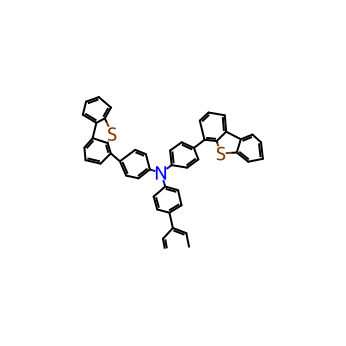 C=C/C(=C\C)c1ccc(N(c2ccc(-c3cccc4c3sc3ccccc34)cc2)c2ccc(-c3cccc4c3sc3ccccc34)cc2)cc1